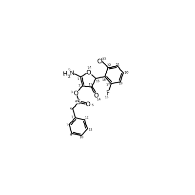 NC1=C(OS(=O)Cc2ccccc2)C(=O)C(c2c(F)cccc2Cl)O1